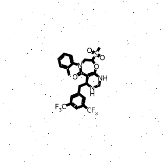 Cc1ccccc1N1CC(S(C)(=O)=O)OC2=C(C1=O)C(Cc1cc(C(F)(F)F)cc(C(F)(F)F)c1)NCN2